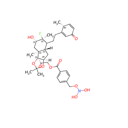 C[C@@H]1C=CC(=O)C=C1CCC1[C@@H]2C[C@H]3OC(C)(C)O[C@@]3(C(=O)COC(=O)c3ccc(CON(O)O)cc3)[C@@]2(C)C[C@H](O)[C@@]1(C)F